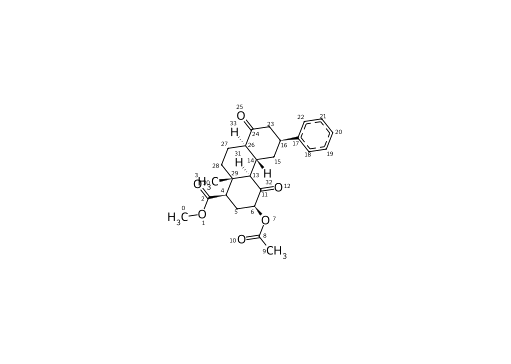 COC(=O)[C@@H]1C[C@H](OC(C)=O)C(=O)[C@@H]2[C@H]3C[C@H](c4ccccc4)CC(=O)[C@@H]3CC[C@]21C